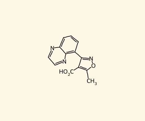 Cc1onc(-c2cccc3nccnc23)c1C(=O)O